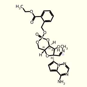 CCOC(=O)c1ccccc1COP1(=O)OC[C@H]2O[C@@](/C=N\C)(c3ccc4c(N)ncnn34)[C@H](O)[C@@H]2O1